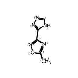 Cc1nc(-c2nnc[nH]2)no1